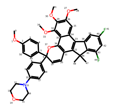 COc1ccc(C2(c3ccc(N4CCOCC4)cc3)C=Cc3c4c(c5cc(OC)c(OC)c(OC)c5c3O2)-c2cc(F)cc(F)c2C4(C)C)cc1